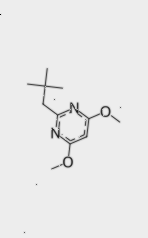 COc1cc(OC)nc(CC(C)(C)C)n1